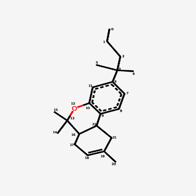 CCCC(C)(C)c1ccc2c(c1)OC(C)(C)C1CC=C(C)CC21